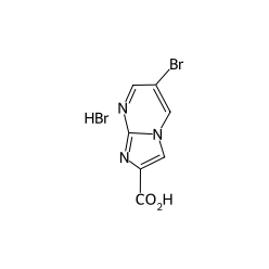 Br.O=C(O)c1cn2cc(Br)cnc2n1